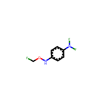 FCONc1ccc(N(F)F)cc1